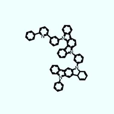 C1=CC2c3cc4c(cc3N(c3cccc(-n5c6ccccc6c6c5ccc5c7ccccc7n(-c7cccc(-c8cccc(-c9ccccc9)n8)c7)c56)c3)C2C=C1)c1ccccc1n4-c1ccccc1